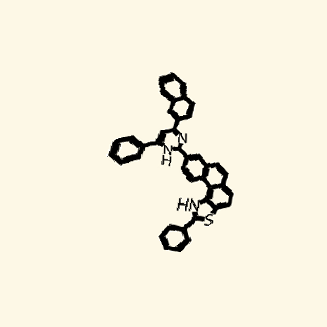 C1=CCC(C2Nc3c(ccc4ccc5cc(C6N=C(c7ccc8ccccc8c7)C=C(c7ccccc7)N6)ccc5c34)S2)C=C1